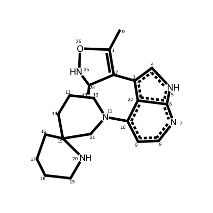 CC1=C(c2c[nH]c3nccc(N4CCCC5(CCCCN5)C4)c23)C(C)NO1